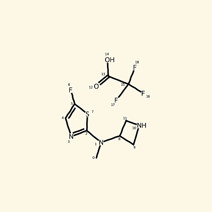 CN(c1ncc(F)s1)C1CNC1.O=C(O)C(F)(F)F